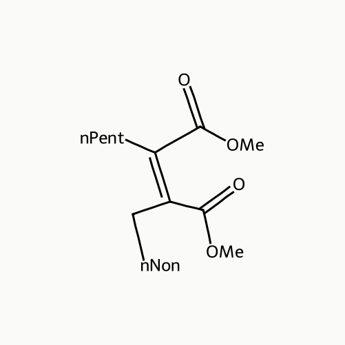 CCCCCCCCCC/C(C(=O)OC)=C(\CCCCC)C(=O)OC